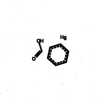 O=CO.[Hg].c1ccccc1